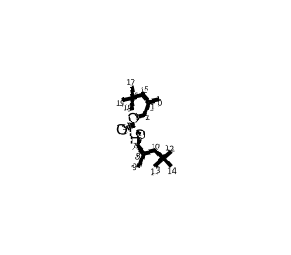 CC(CO[PH](=O)OCC(C)CC(C)(C)C)CC(C)(C)C